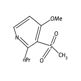 CCCc1nccc(OC)c1S(C)(=O)=O